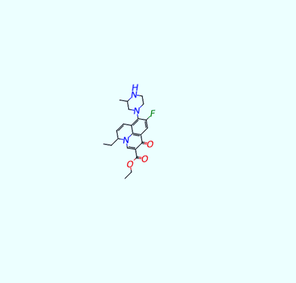 CCOC(=O)c1cn2c3c(c(N4CCNC(C)C4)c(F)cc3c1=O)C=CC2CC